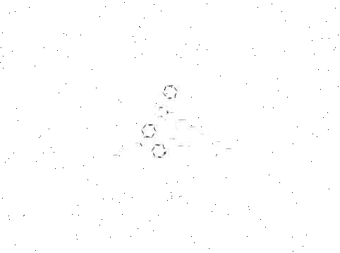 CCCCCCCCCCC(Sc1nnnn1-c1ccccc1)C(O)CC(Sc1ccccc1-c1ccccc1C(=S)OCCCCC)C(C)O